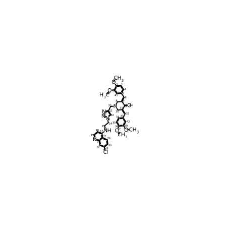 COc1ccc(/C=C2\CN(Cc3cn(CCNc4ccnc5cc(Cl)ccc45)nn3)C/C(=C\c3ccc(OC)c(OC)c3)C2=O)cc1OC